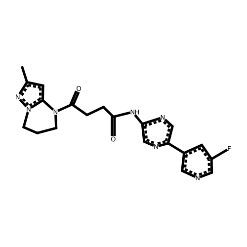 Cc1cc2n(n1)CCCN2C(=O)CCC(=O)Nc1cnc(-c2cncc(F)c2)cn1